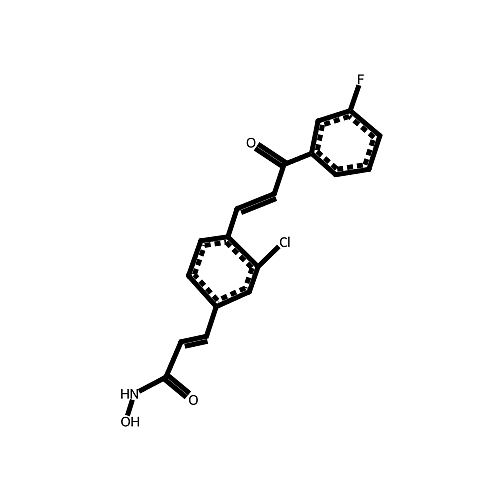 O=C(C=Cc1ccc(C=CC(=O)c2cccc(F)c2)c(Cl)c1)NO